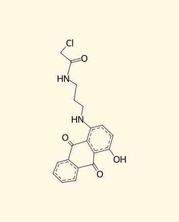 O=C(CCl)NCCCNc1ccc(O)c2c1C(=O)c1ccccc1C2=O